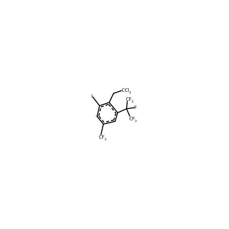 FC(F)(F)c1[c]c(I)c(CC(Cl)(Cl)Cl)c(C(F)(C(F)(F)F)C(F)(F)F)c1